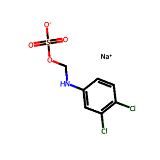 O=S(=O)([O-])OCNc1ccc(Cl)c(Cl)c1.[Na+]